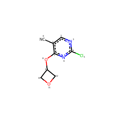 N#Cc1cnc(Cl)nc1OC1COC1